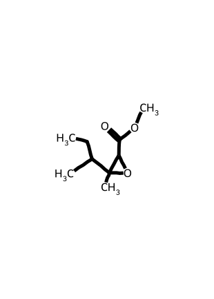 CCC(C)C1(C)OC1C(=O)OC